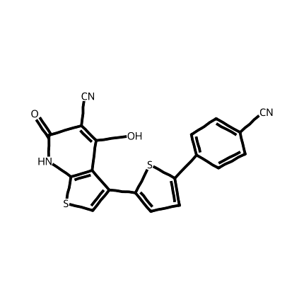 N#Cc1ccc(-c2ccc(-c3csc4[nH]c(=O)c(C#N)c(O)c34)s2)cc1